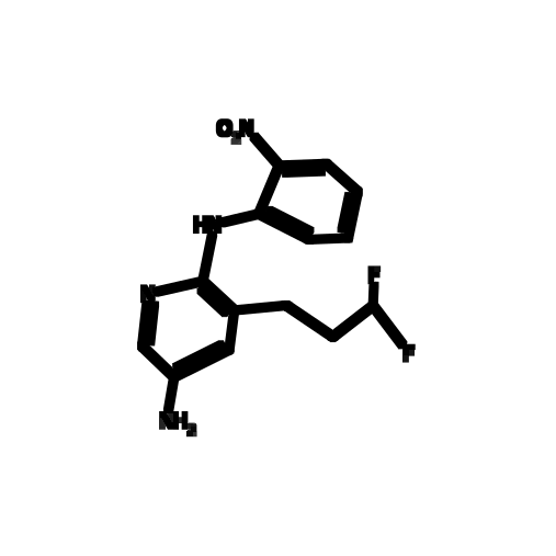 Nc1cnc(Nc2ccccc2[N+](=O)[O-])c(CCC(F)F)c1